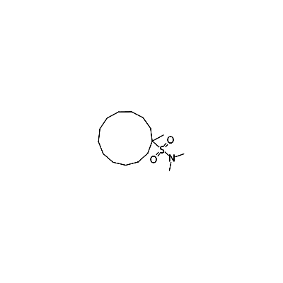 CN(C)S(=O)(=O)C1(C)CCCCCCCCCCCC1